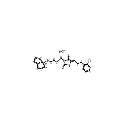 Cl.O=C1SC(=CCCc2ccccc2Cl)C(=O)N1CCCCSc1cccc2nccn12